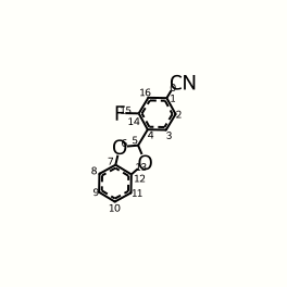 N#Cc1ccc(C2Oc3ccccc3O2)c(F)c1